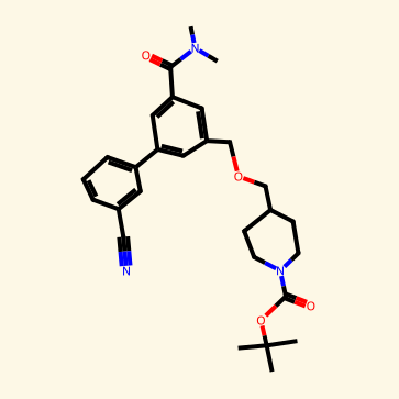 CN(C)C(=O)c1cc(COCC2CCN(C(=O)OC(C)(C)C)CC2)cc(-c2cccc(C#N)c2)c1